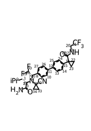 CC(C)C[C@@H](C(N)=O)N([C@@H](c1ccc(-c2ccc(C3(C(=O)NCC(F)(F)F)CC3)cc2)cc1)C(F)F)C1(C#N)CC1